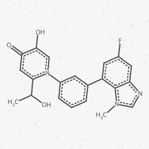 CC(O)c1cc(=O)c(O)cn1-c1cccc(-c2cc(F)cc3ncn(C)c23)c1